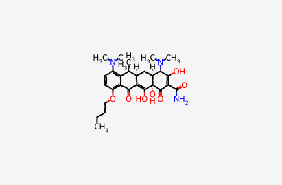 CCCCOc1ccc(N(C)C)c2c1C(=O)C1=C(O)[C@]3(O)C(=O)C(C(N)=O)=C(O)[C@H](N(C)C)[C@@H]3C[C@@H]1[C@@H]2C